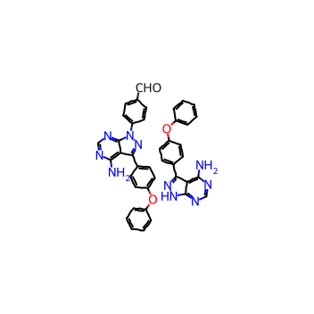 Nc1ncnc2[nH]nc(-c3ccc(Oc4ccccc4)cc3)c12.Nc1ncnc2c1c(-c1ccc(Oc3ccccc3)cc1)nn2-c1ccc(C=O)cc1